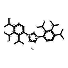 CC(C)c1ccc(-n2cc[n+](-c3ccc(C(C)C)c(C(C)C)c3C(C)C)c2)c(C(C)C)c1C(C)C.[Cl-]